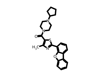 Cc1nc(-c2cccc3c2oc2ccccc23)sc1C(=O)N1CCN(C2CCCC2)CC1